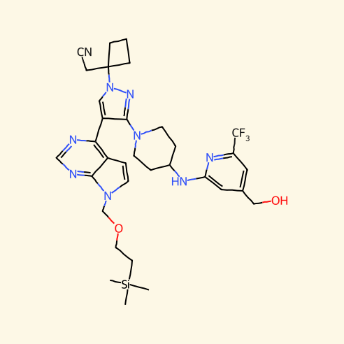 C[Si](C)(C)CCOCn1ccc2c(-c3cn(C4(CC#N)CCC4)nc3N3CCC(Nc4cc(CO)cc(C(F)(F)F)n4)CC3)ncnc21